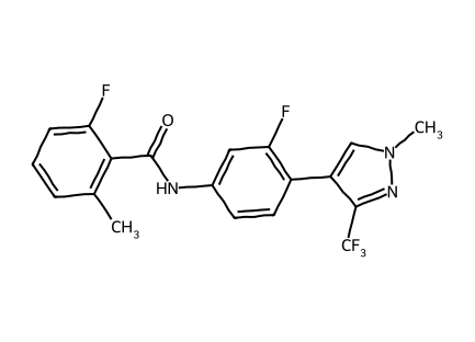 Cc1cccc(F)c1C(=O)Nc1ccc(-c2cn(C)nc2C(F)(F)F)c(F)c1